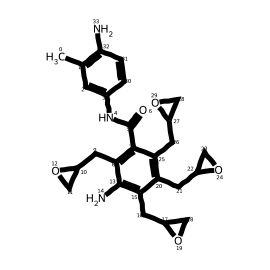 Cc1cc(NC(=O)c2c(CC3CO3)c(N)c(CC3CO3)c(CC3CO3)c2CC2CO2)ccc1N